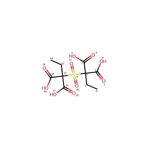 CCC(C(=O)O)(C(=O)O)S(=O)(=O)C(CC)(C(=O)O)C(=O)O